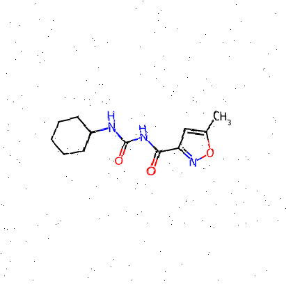 Cc1cc(C(=O)NC(=O)NC2CCCCC2)no1